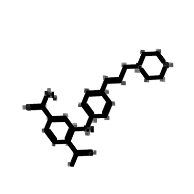 CC(=O)c1ccc(C(N)=O)cc1Nc1ccc(/C=C/CN2CCOCC2)cc1